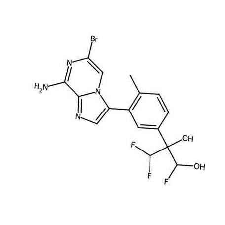 Cc1ccc(C(O)(C(O)F)C(F)F)cc1-c1cnc2c(N)nc(Br)cn12